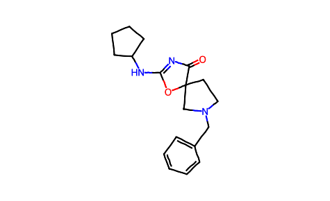 O=C1N=C(NC2CCCC2)OC12CCN(Cc1ccccc1)C2